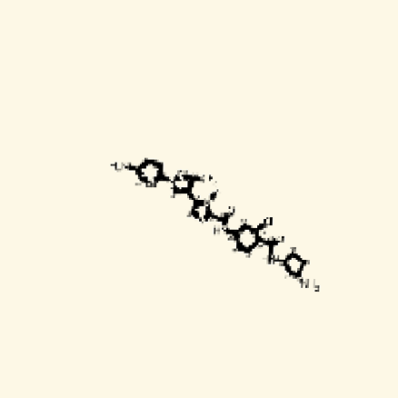 Cn1c(-c2cn(-c3ccc(N)cn3)nc2C(F)(F)F)cnc1C(=O)Nc1ccc(C(=O)N[C@H]2CC[C@H](N)C2)c(Cl)c1